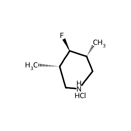 C[C@@H]1CNC[C@H](C)[C@H]1F.Cl